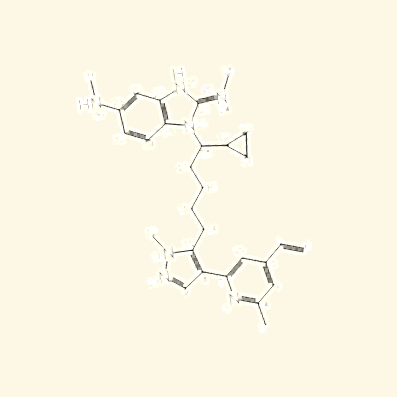 C=Cc1cc(C)nc(-c2cnn(C)c2CCCCC(C2CC2)n2/c(=N/C)[nH]c3cc(NC)ccc32)c1